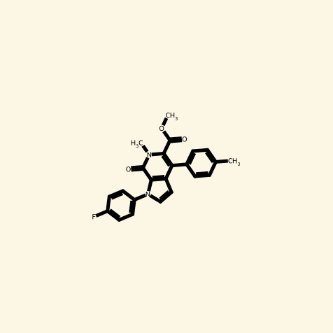 COC(=O)c1c(-c2ccc(C)cc2)c2ccn(-c3ccc(F)cc3)c2c(=O)n1C